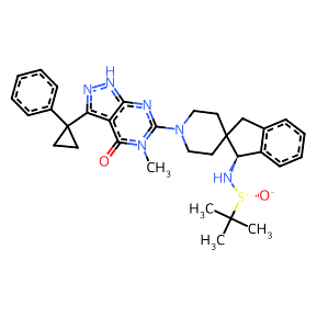 Cn1c(N2CCC3(CC2)Cc2ccccc2[C@H]3N[S@+]([O-])C(C)(C)C)nc2[nH]nc(C3(c4ccccc4)CC3)c2c1=O